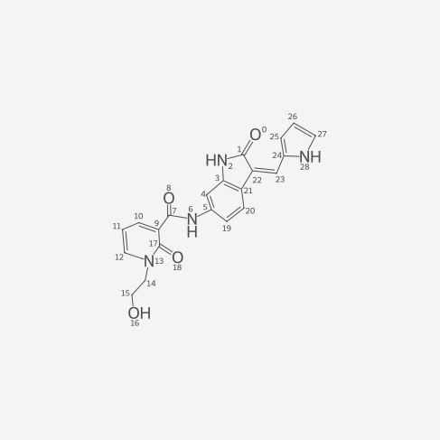 O=C1Nc2cc(NC(=O)c3cccn(CCO)c3=O)ccc2/C1=C/c1ccc[nH]1